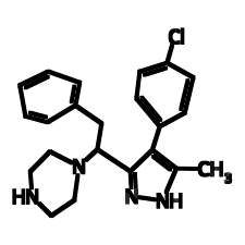 Cc1[nH]nc(C(Cc2ccccc2)N2CCNCC2)c1-c1ccc(Cl)cc1